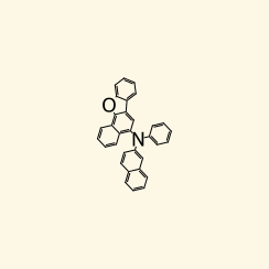 c1ccc(N(c2ccc3ccccc3c2)c2cc3c4ccccc4oc3c3ccccc23)cc1